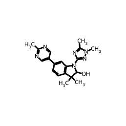 Cc1ncc(-c2ccc3c(c2)N(c2nc(C)n(C)n2)C(O)C3(C)C)cn1